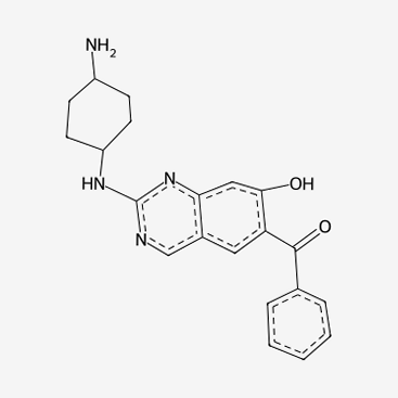 NC1CCC(Nc2ncc3cc(C(=O)c4ccccc4)c(O)cc3n2)CC1